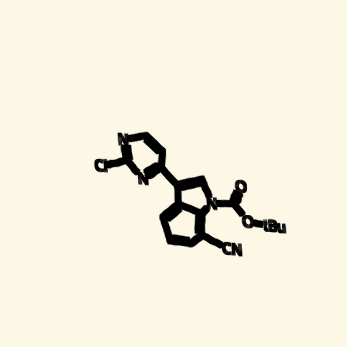 CC(C)(C)OC(=O)n1cc(-c2ccnc(Cl)n2)c2cccc(C#N)c21